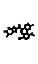 COc1ccc(Cl)c(F)c1-c1cc(C)ncc1C(=O)Nc1nn(CC(C)O)c(=O)s1